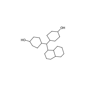 OC1CCC(C(C2CCC(O)CC2)C2CCCC3CCCCC32)CC1